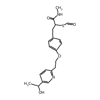 CNC(=O)C(Cc1ccc(OCCc2ccc(C(C)O)cn2)cc1)SC=O